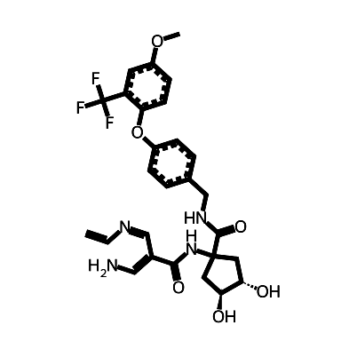 C=C/N=C\C(=C/N)C(=O)NC1(C(=O)NCc2ccc(Oc3ccc(OC)cc3C(F)(F)F)cc2)C[C@H](O)[C@@H](O)C1